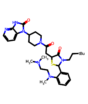 CN(C)CCN(C)c1ccccc1C1SC(CC(=O)N2CCC(n3c(=O)[nH]c4ncccc43)CC2)C(=O)N1CCC(C)(C)C